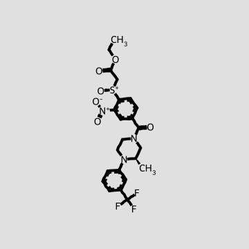 CCOC(=O)C[S+]([O-])c1ccc(C(=O)N2CCN(c3cccc(C(F)(F)F)c3)[C@H](C)C2)cc1[N+](=O)[O-]